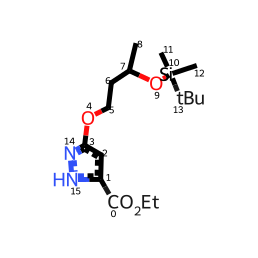 CCOC(=O)c1cc(OCCC(C)O[Si](C)(C)C(C)(C)C)n[nH]1